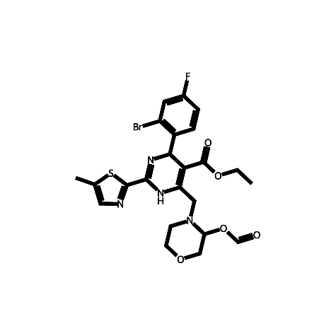 CCOC(=O)C1=C(CN2CCOCC2OC=O)NC(c2ncc(C)s2)=NC1c1ccc(F)cc1Br